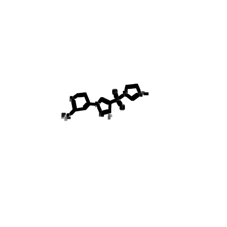 C[n+]1ccn(S(=O)(=O)c2cnn(-c3ccnc(C(F)(F)F)c3)c2)c1.[I-]